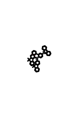 CC1(C)c2ccccc2-c2ccc(N(c3ccc(-n4c5ccccc5c5ccccc54)cc3-c3ccccc3)c3cccc4c3-c3ccccc3C4(C)C)cc21